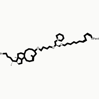 CCCCC/C=C\C/C=C\CCCCCCOC[C@H](CN1CCCCC1)OCCCCOC1CCCC2CC[C@@]3(C)C(CC[C@@H]3[C@H](C)CCCC(C)C)C2CC/C=C(\C)C1